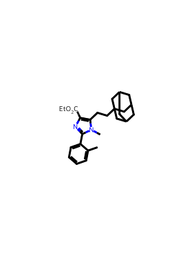 CCOC(=O)c1nc(-c2ccccc2C)n(C)c1CCC12CC3CC(CC(C3)C1)C2